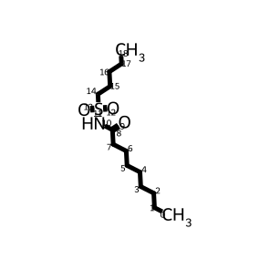 CCCCCCCCC(=O)NS(=O)(=O)CCCCC